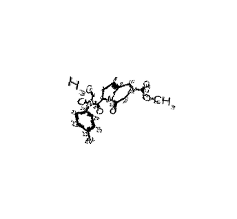 CC[N+]([O-])(C(=O)C1CC=C2CN(C(=O)OC)CC(=O)N21)c1ccc(Br)cc1